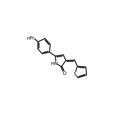 CCCc1ccc(C2=CC(=Cc3cccs3)C(=O)N2)cc1